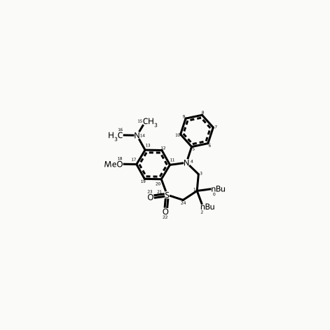 CCCCC1(CCCC)CN(c2ccccc2)c2cc(N(C)C)c(OC)cc2S(=O)(=O)C1